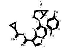 N=C(SC(=N)C1CC1)c1cnn2ccc(N3CC[C@H]4C[C@]43c3cc(F)ccc3F)nc12